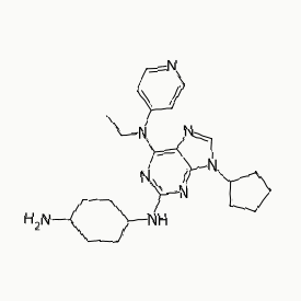 CCN(c1ccncc1)c1nc(NC2CCC(N)CC2)nc2c1ncn2C1CCCC1